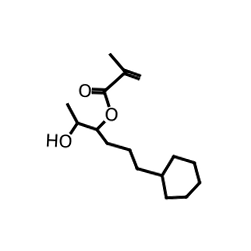 C=C(C)C(=O)OC(CCCC1CCCCC1)C(C)O